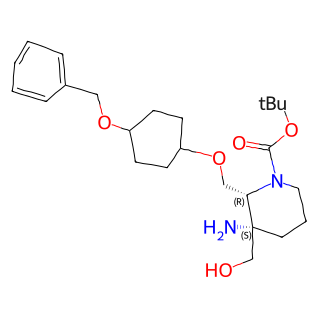 CC(C)(C)OC(=O)N1CCC[C@@](N)(CO)[C@@H]1COC1CCC(OCc2ccccc2)CC1